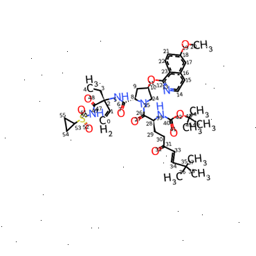 C=C[C@@](CC)(NC(=O)[C@@H]1C[C@@H](Oc2nccc3cc(OC)ccc23)CN1C(=O)[C@H](CCC(=O)/C=C/C(C)(C)C)NC(=O)OC(C)(C)C)C(=O)NS(=O)(=O)C1CC1